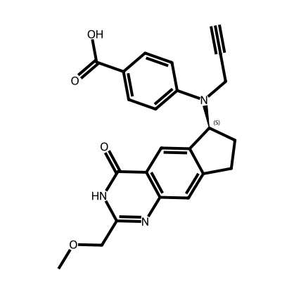 C#CCN(c1ccc(C(=O)O)cc1)[C@H]1CCc2cc3nc(COC)[nH]c(=O)c3cc21